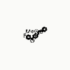 CO[C@@H](COc1ccccc1)CN1CCC(C(=O)c2ccc(F)cc2)CC1